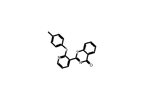 Cc1ccc(Sc2ncccc2-c2nc(=O)c3ccccc3s2)cc1